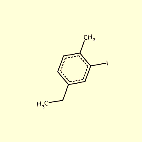 CCc1ccc(C)c(I)c1